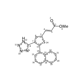 COC(=O)C=Cc1cc(-c2nnn[nH]2)c(-c2cccc3ccccc23)s1